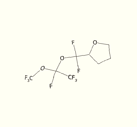 FC(F)(F)OC(F)(OC(F)(F)C1CCCO1)C(F)(F)F